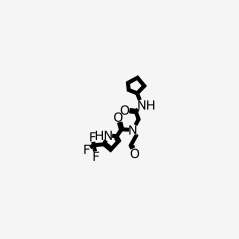 O=CCN(CC(=O)NC1CCCC1)C(=O)c1ccc(C(F)(F)F)[nH]1